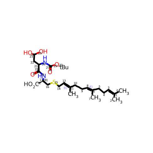 CC(C)=CCC/C(C)=C/CC/C(C)=C/CSC[C@H](NC(=O)C(CC(O)O)NC(=O)OC(C)(C)C)C(=O)O